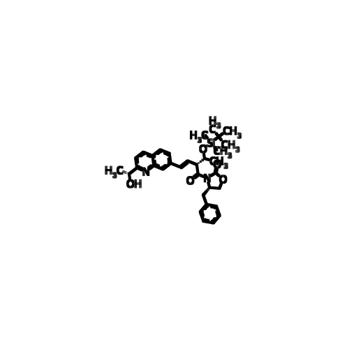 CC(O[Si](C)(C)C(C)(C)C)[C@@H](/C=C/c1ccc2ccc([C@@H](C)O)nc2c1)C(=O)N1C(=O)OC[C@H]1Cc1ccccc1